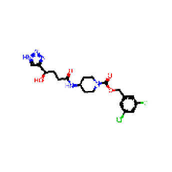 O=C(CCC(O)c1c[nH]nn1)NC1CCN(C(=O)OCc2cc(Cl)cc(Cl)c2)CC1